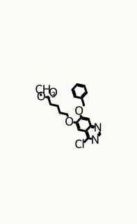 COC(=O)CCCCOc1cc2c(Cl)ncnc2cc1OCc1ccccc1